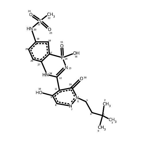 CC(C)(C)CCn1ncc(O)c(C2=NP(=O)(O)c3cc(NS(C)(=O)=O)ccc3N2)c1=O